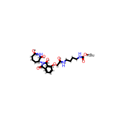 CC(C)(C)OC(=O)NCCCCNC(=O)COc1cccc2c1C(=O)N([C@H]1CCCC(=O)NC1=O)C2=O